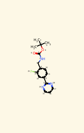 CC(C)(C)OC(=O)NCc1ccc(-c2ncccn2)cc1F